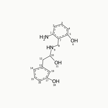 Nc1cccc(O)c1CNC(O)Cc1cccc(O)c1